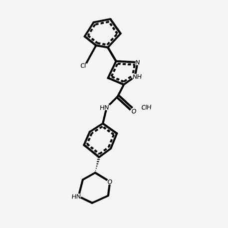 Cl.O=C(Nc1ccc([C@H]2CNCCO2)cc1)c1cc(-c2ccccc2Cl)n[nH]1